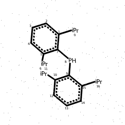 CC(C)c1cccc(C(C)C)c1Pc1c(C(C)C)cccc1C(C)C